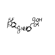 CC(C)OC(Cc1cccc(CNC(=O)OCc2ccc(C(F)(F)F)c(F)c2)c1)C(=O)O